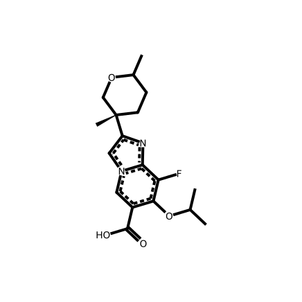 CC(C)Oc1c(C(=O)O)cn2cc([C@@]3(C)CCC(C)OC3)nc2c1F